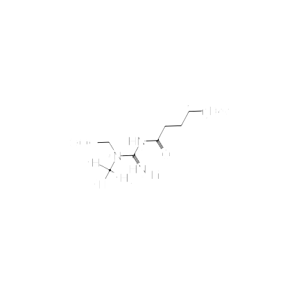 [2H]C([2H])([2H])N(CC(=O)[O-])C(=N)NC(=O)CCCCCCCCCCCCC.[Li+]